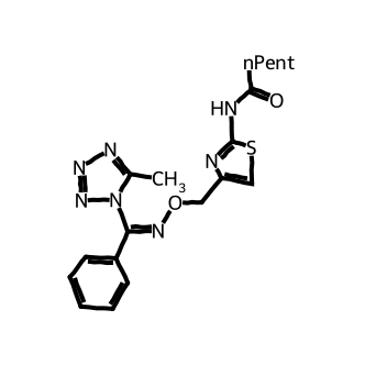 CCCCCC(=O)Nc1nc(CON=C(c2ccccc2)n2nnnc2C)cs1